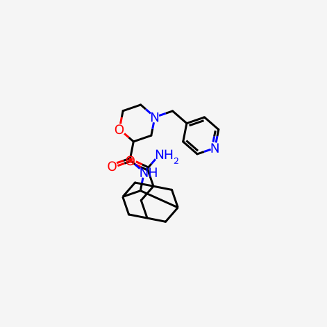 NC(=O)C12CC3CC(C1)C(NC(=O)C1CN(Cc4ccncc4)CCO1)C(C3)C2